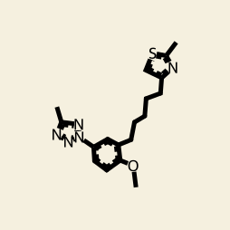 COc1ccc(-n2nnc(C)n2)cc1CCCCCc1csc(C)n1